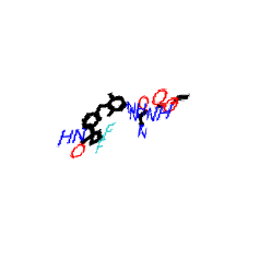 CCOC(=O)NC(=O)C(C#N)=NNc1cc(C)c(Cc2ccc3c(c2)C2(CC(F)(F)C2)C(=O)N3)c(C)c1